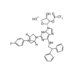 O=C(O[C@@H]1[C@H](O)[C@@H](CO)O[C@H]1n1cnc2c(NCC(c3ccccc3)c3ccccc3)nc(N3C[C@@H]4C[C@H]3CN4c3ccc(F)cc3)nc21)C(F)(F)F